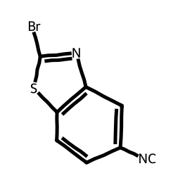 [C-]#[N+]c1ccc2sc(Br)nc2c1